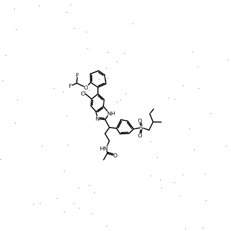 CCC(C)CS(=O)(=O)c1ccc(C(CCNC(C)=O)c2nc3cc(Cl)c(-c4ccccc4OC(F)F)cc3[nH]2)cc1